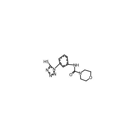 O=C(Nc1cccc(-n2nnnc2S)c1)N1CCOCC1